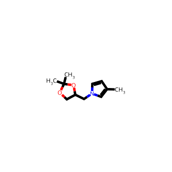 Cc1ccn(CC2COC(C)(C)O2)c1